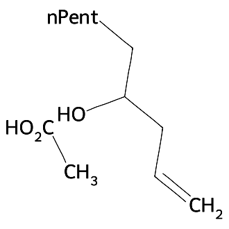 C=CCC(O)CCCCCC.CC(=O)O